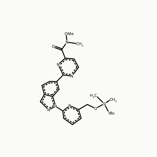 CON(C)C(=O)c1ccnc(-c2ccc3cnn(-c4cccc(CO[Si](C)(C)C(C)(C)C)n4)c3c2)n1